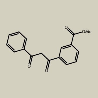 COC(=O)c1cccc(C(=O)CC(=O)c2ccccc2)c1